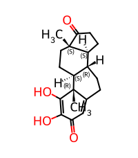 C[C@@]12C(=CC(=O)C(O)=C1O)CC[C@@H]1[C@@H]2CC[C@]2(C)C(=O)CC[C@@H]12